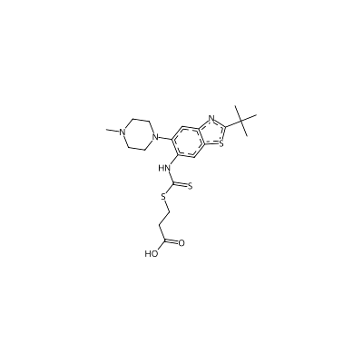 CN1CCN(c2cc3nc(C(C)(C)C)sc3cc2NC(=S)SCCC(=O)O)CC1